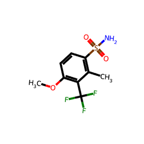 COc1ccc(S(N)(=O)=O)c(C)c1C(F)(F)F